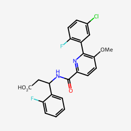 COc1ccc(C(=O)NC(CC(=O)O)c2ccccc2F)nc1-c1cc(Cl)ccc1F